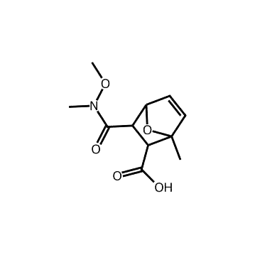 CON(C)C(=O)C1C2C=CC(C)(O2)C1C(=O)O